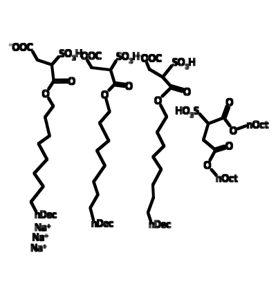 CCCCCCCCCCCCCCCCCCOC(=O)C(CC(=O)[O-])S(=O)(=O)O.CCCCCCCCCCCCCCCCCCOC(=O)C(CC(=O)[O-])S(=O)(=O)O.CCCCCCCCCCCCCCCCCCOC(=O)C(CC(=O)[O-])S(=O)(=O)O.CCCCCCCCOC(=O)CC(C(=O)OCCCCCCCC)S(=O)(=O)O.[Na+].[Na+].[Na+]